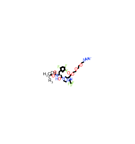 CC(C)(C)OC(=O)N[C@@H](CC(=O)N1CCn2c(C(F)(F)F)nc(C(=O)OCCOCCOCCN=[N+]=[N-])c2C1)Cc1cc(F)c(F)cc1F